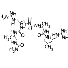 CC(CCCNC(=N)N)CNC(=O)NC(C)CNC(=O)NC(CCCNC(=N)N)CNC(=O)NC(C)CNC(N)=O